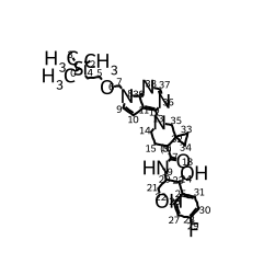 C[Si](C)(C)CCOCn1ccc2c(N3CC[C@H](C(=O)NC(CO)C(O)c4ccc(F)cc4)C4(CC4)C3)ncnc21